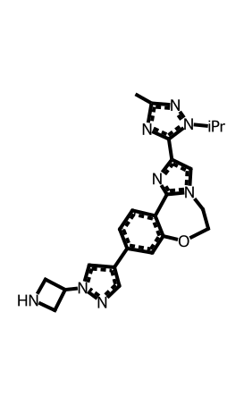 Cc1nc(-c2cn3c(n2)-c2ccc(-c4cnn(C5CNC5)c4)cc2OCC3)n(C(C)C)n1